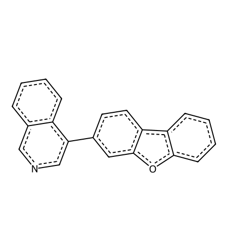 c1ccc2c(-c3ccc4c(c3)oc3ccccc34)cncc2c1